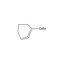 COC1=C=CCCC1